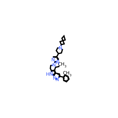 CCC1c2c([nH]c3nnc(-c4ccccc4C)cc23)CCN1c1ncc(C2CCN(C3CC4(CCC4)C3)CC2)cn1